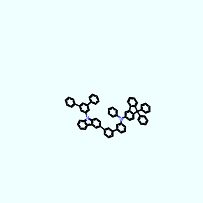 c1ccc(-c2cc(-c3ccccc3)cc(-n3c4ccccc4c4cc(-c5cccc(-c6cccc(N(c7ccccc7)c7ccc8c(c7)-c7ccccc7C8(c7ccccc7)c7ccccc7)c6)c5)ccc43)c2)cc1